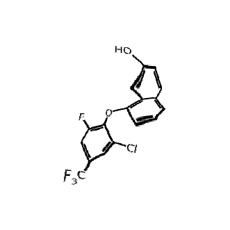 Oc1ccc2cccc(Oc3c(F)cc(C(F)(F)F)cc3Cl)c2c1